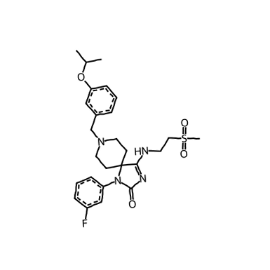 CC(C)Oc1cccc(CN2CCC3(CC2)C(NCCS(C)(=O)=O)=NC(=O)N3c2cccc(F)c2)c1